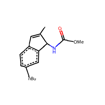 CCCCc1ccc2c(c1)C(NC(=O)OC)C(C)=C2